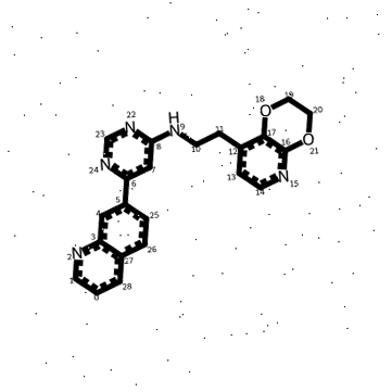 c1cnc2cc(-c3cc(NCCc4ccnc5c4OCCO5)ncn3)ccc2c1